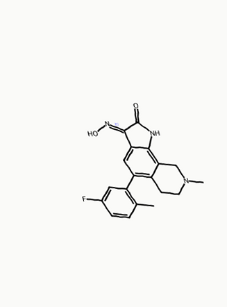 Cc1ccc(F)cc1-c1cc2c(c3c1CCN(C)C3)NC(=O)/C2=N/O